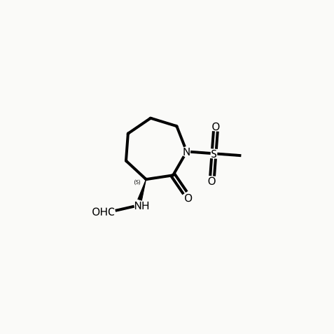 CS(=O)(=O)N1CCCC[C@H](NC=O)C1=O